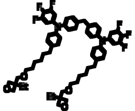 CCC1(COCCCCCCc2ccc(N(c3ccc(Cc4ccc(N(c5ccc(CCCCCCOCC6(CC)COC6)cc5)c5cc(F)c(F)c(F)c5)cc4)cc3)c3cc(F)c(F)c(F)c3)cc2)COC1